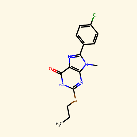 Cn1c(-c2ccc(Cl)cc2)nc2c(=O)[nH]c(SCCC(F)(F)F)nc21